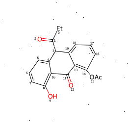 CCC(=O)C1c2cccc(O)c2C(=O)c2c(OC(C)=O)cccc21